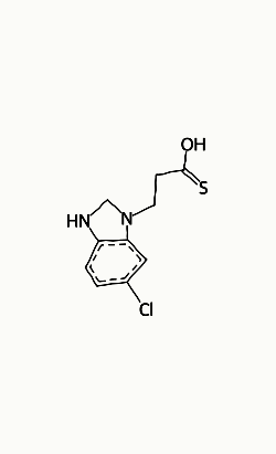 OC(=S)CCN1CNc2ccc(Cl)cc21